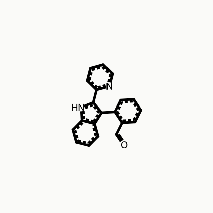 O=Cc1ccccc1-c1c(-c2ccccn2)[nH]c2ccccc12